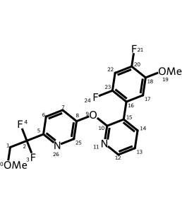 COCC(F)(F)c1ccc(Oc2ncccc2-c2cc(OC)c(F)cc2F)cn1